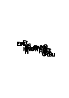 CCC(NC(=O)OC(C)(C)C)C(=O)N1CCN(c2ccc3cc(NC(=S)NCCN(CC)CC)ccc3n2)CC1